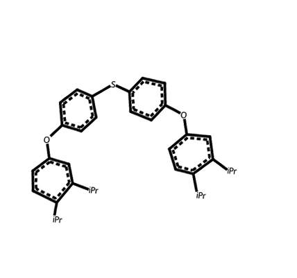 CC(C)c1ccc(Oc2ccc(Sc3ccc(Oc4ccc(C(C)C)c(C(C)C)c4)cc3)cc2)cc1C(C)C